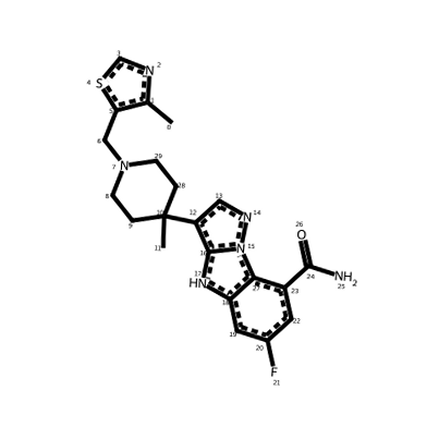 Cc1ncsc1CN1CCC(C)(c2cnn3c2[nH]c2cc(F)cc(C(N)=O)c23)CC1